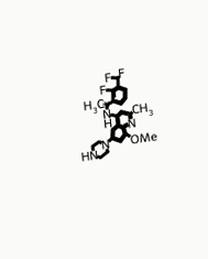 COc1cc(N2CCNCC2)cc2c(N[C@H](C)c3cccc(C(F)F)c3F)cc(C)nc12